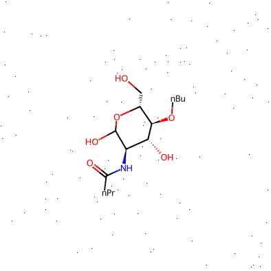 CCCCO[C@H]1[C@H](O)[C@@H](NC(=O)CCC)C(O)O[C@@H]1CO